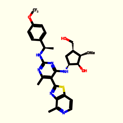 CO[C@@H]1[C@@H](CO)C[C@@H](Nc2nc(N[C@H](C)c3ccc(OC(F)(F)F)cc3)nc(C)c2-c2nc3c(C)nccc3s2)[C@@H]1O